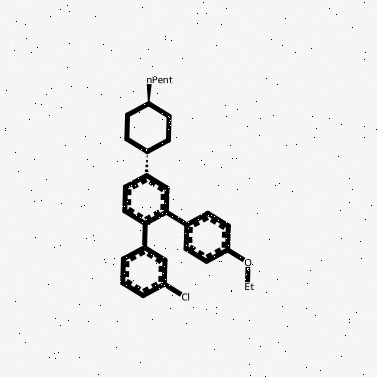 CCCCC[C@H]1CC[C@H](c2ccc(-c3cccc(Cl)c3)c(-c3ccc(OCC)cc3)c2)CC1